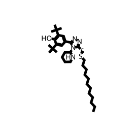 CCCCCCCCCCCCSSc1nnc(-c2cc(C(C)(C)C)c(O)c(C(C)(C)C)c2)n1C1CCCCN1